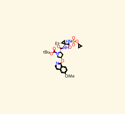 CC[C@@H]1C[C@]1(NC(=O)[C@@H]1C[C@@H](Oc2nccc3cc(OC)ccc23)CN1C(=O)OC(C)(C)C)C(=O)NS(=O)(=O)OC1CC1